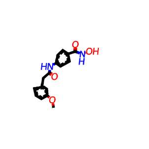 COc1cccc(CC(=O)Nc2ccc(C(=O)NO)cc2)c1